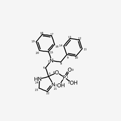 O=P(O)(O)OC1(CN(Cc2ccccc2)c2ccccc2)N=CCN1